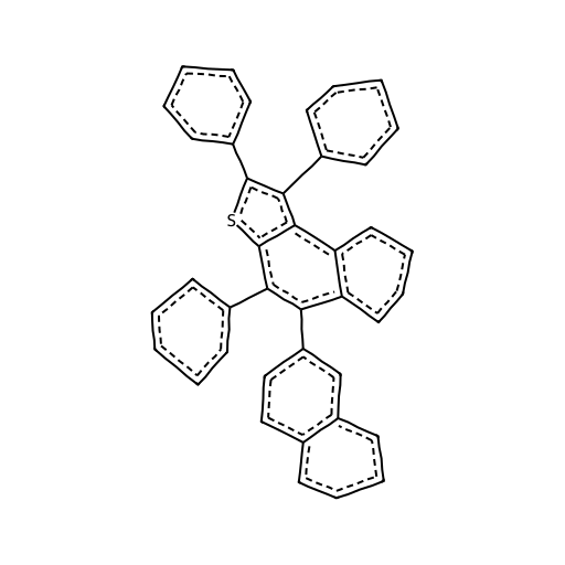 c1ccc(-c2sc3c(-c4ccccc4)c(-c4ccc5ccccc5c4)c4ccccc4c3c2-c2ccccc2)cc1